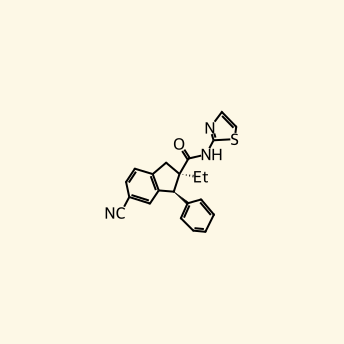 CC[C@@]1(C(=O)Nc2nccs2)Cc2ccc(C#N)cc2[C@@H]1c1ccccc1